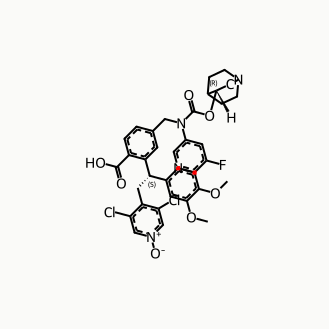 COc1ccc([C@H](Cc2c(Cl)c[n+]([O-])cc2Cl)c2cc(CN(C(=O)O[C@H]3CN4CCC3CC4)c3cncc(F)c3)ccc2C(=O)O)cc1OC